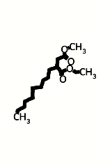 CCCCCCCCCCC(CC(=O)OC)C(=O)OCC